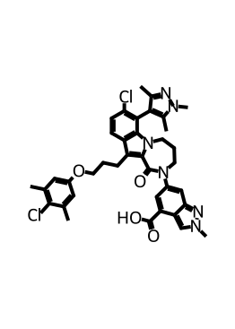 Cc1cc(OCCCc2c3n(c4c(-c5c(C)nn(C)c5C)c(Cl)ccc24)CCCN(c2cc(C(=O)O)c4cn(C)nc4c2)C3=O)cc(C)c1Cl